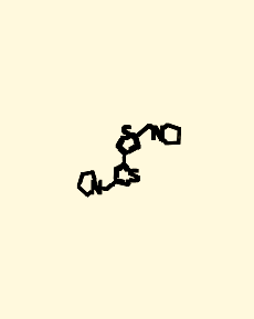 c1sc(-c2csc(CN3CCCC3)c2)cc1CN1CCCC1